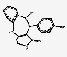 CC(=O)N1c2ccccc2NC2=C(C(=O)NC2)C1c1ccc(Br)cc1